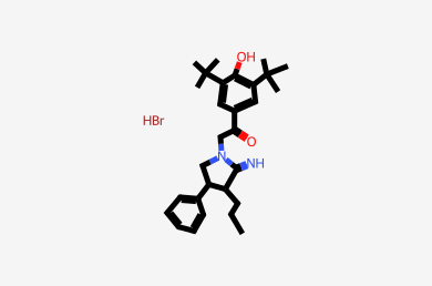 Br.CCCC1C(=N)N(CC(=O)c2cc(C(C)(C)C)c(O)c(C(C)(C)C)c2)CC1c1ccccc1